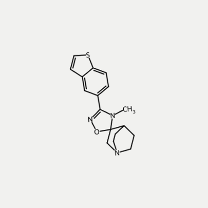 CN1C(c2ccc3sccc3c2)=NOC12CN1CCC2CC1